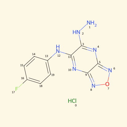 Cl.NNc1nc2nonc2nc1Nc1ccc(F)cc1